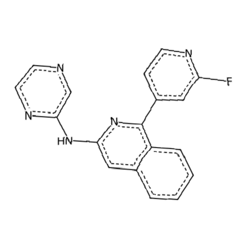 Fc1cc(-c2nc(Nc3cnccn3)cc3ccccc23)ccn1